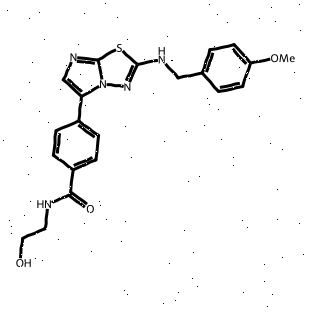 COc1ccc(CNc2nn3c(-c4ccc(C(=O)NCCO)cc4)cnc3s2)cc1